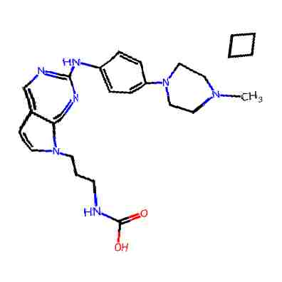 C1CCC1.CN1CCN(c2ccc(Nc3ncc4ccn(CCCNC(=O)O)c4n3)cc2)CC1